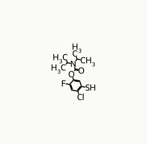 CC(C)N(C(=O)Oc1cc(S)c(Cl)cc1F)C(C)C